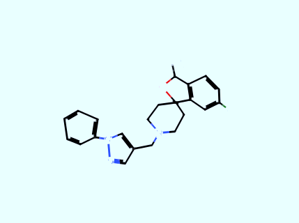 O=C(O)C1OC2(CCN(Cc3cnn(-c4ccccc4)c3)CC2)c2cc(Cl)ccc21